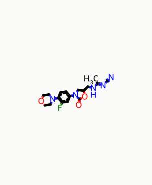 C/C(=N\C#N)NCC1CN(c2ccc(N3CCOCC3)c(F)c2)C(=O)O1